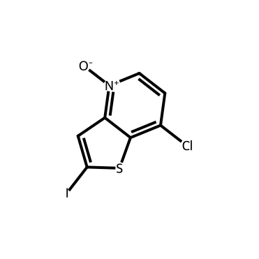 [O-][n+]1ccc(Cl)c2sc(I)cc21